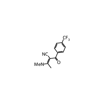 CN/C(C)=C(\C#N)C(=O)c1ccc(C(F)(F)F)cc1